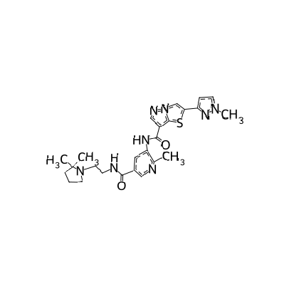 Cc1ncc(C(=O)NCCN2CCCC2(C)C)cc1NC(=O)c1cnn2cc(-c3ccn(C)n3)sc12